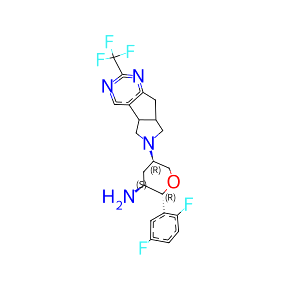 N[C@H]1C[C@@H](N2CC3Cc4nc(C(F)(F)F)ncc4C3C2)CO[C@@H]1c1cc(F)ccc1F